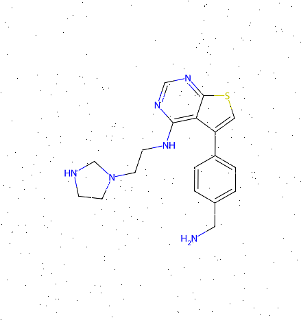 NCc1ccc(-c2csc3ncnc(NCCN4CCNC4)c23)cc1